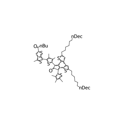 CCCCCCCCCCCCCCCCc1cc2c(s1)c1c(c3sc(CCCCCCCCCCCCCCCC)cc32)=C(c2sc(-c3sc(C)c4cc(C(=O)CCCC)sc34)c(C)c2C)C(=O)C=1c1sc(C)c(C)c1C